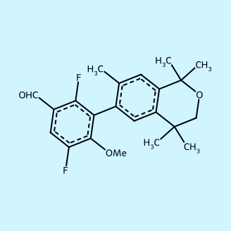 COc1c(F)cc(C=O)c(F)c1-c1cc2c(cc1C)C(C)(C)OCC2(C)C